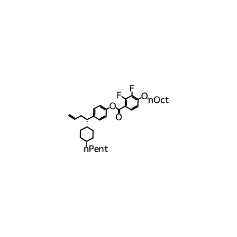 C=CCC(c1ccc(OC(=O)c2ccc(OCCCCCCCC)c(F)c2F)cc1)[C@H]1CC[C@H](CCCCC)CC1